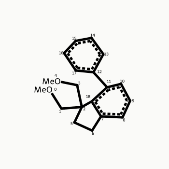 COCC1(COC)CCc2cccc(-c3ccccc3)c21